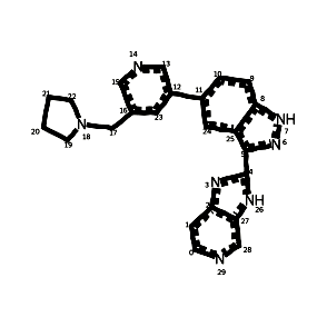 c1cc2nc(-c3n[nH]c4ccc(-c5cncc(CN6CCCC6)c5)cc34)[nH]c2cn1